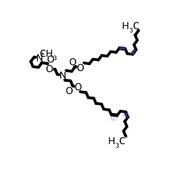 CCCCC/C=C\C/C=C\CCCCCCCCOC(=O)CCN(CCOC(=O)C1CCCCN1C)CCC(=O)OCCCCCCCC/C=C\C/C=C\CCCCC